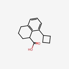 O=C(O)C1CCCc2cccc(C3CCC3)c21